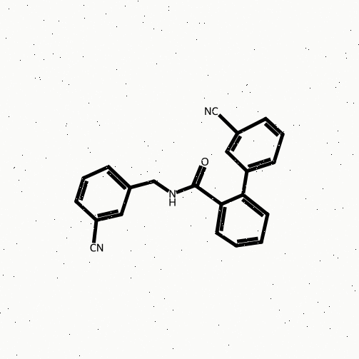 N#Cc1cccc(CNC(=O)c2ccccc2-c2cccc(C#N)c2)c1